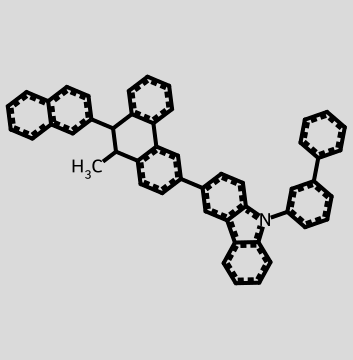 CC1c2ccc(-c3ccc4c(c3)c3ccccc3n4-c3cccc(-c4ccccc4)c3)cc2-c2ccccc2C1c1ccc2ccccc2c1